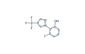 Oc1cccc(I)c1-n1cc(C(F)(F)F)cn1